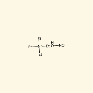 CC[N+](CC)(CC)CC.O=NO